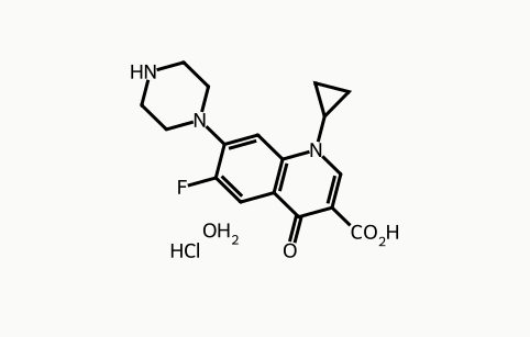 Cl.O.O=C(O)c1cn(C2CC2)c2cc(N3CCNCC3)c(F)cc2c1=O